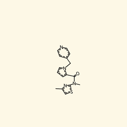 Cc1csc(N(C)C(=O)c2cccn2Cc2ccncc2)n1